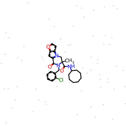 CC1(C(=O)NC2CCCCCCC2)Cn2c(cc3occc32)C(=O)N1Cc1ccccc1Cl